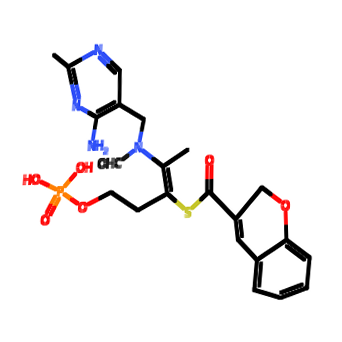 CC(=C(CCOP(=O)(O)O)SC(=O)C1=Cc2ccccc2OC1)N(C=O)Cc1cnc(C)nc1N